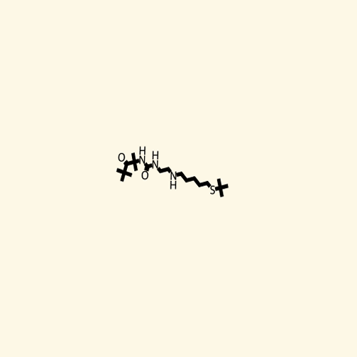 CC(C)(C)SCCCCCNCCNC(=O)NC(C)(C)C(=O)C(C)(C)C